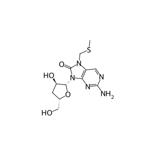 CSCn1c(=O)n([C@@H]2O[C@H](CO)C[C@H]2O)c2nc(N)ncc21